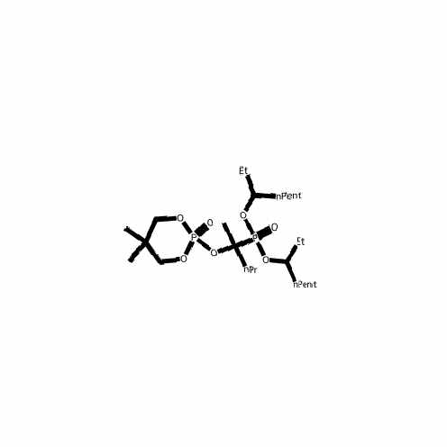 CCCCCC(CC)OP(=O)(OC(CC)CCCCC)C(C)(CCC)OP1(=O)OCC(C)(C)CO1